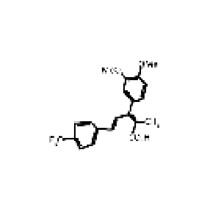 COc1ccc(C(C=Cc2ccc(C(F)(F)F)cc2)=C(C)C(=O)O)cc1OC